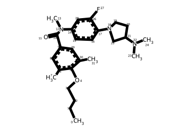 CCCCOc1c(C)cc(C(=O)N(C)c2ccc(N3CCC(N(C)C)C3)c(F)c2)cc1C